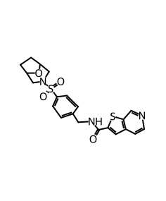 O=C(NCc1ccc(S(=O)(=O)N2CC3CCC(C2)O3)cc1)c1cc2ccncc2s1